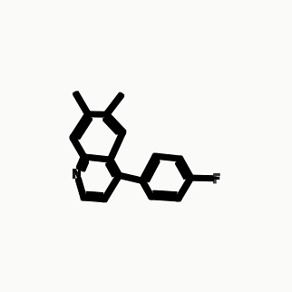 Cc1cc2nccc(-c3ccc(F)cc3)c2cc1C